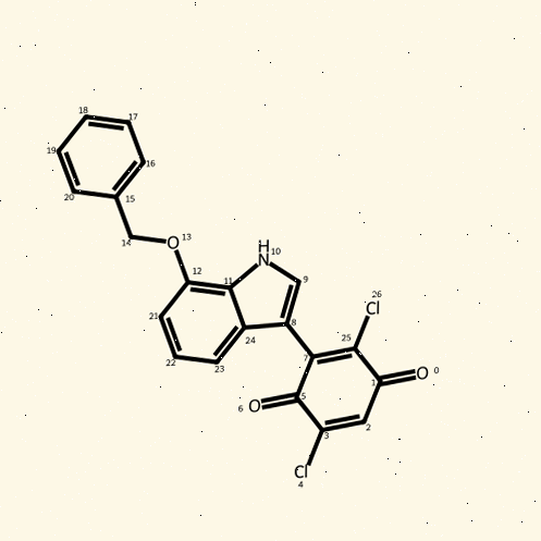 O=C1C=C(Cl)C(=O)C(c2c[nH]c3c(OCc4ccccc4)cccc23)=C1Cl